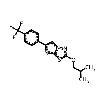 CC(C)COc1nn2cc(-c3ccc(C(F)(F)F)cc3)nc2s1